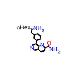 CCCCCCC(N)Cc1cccc(-c2cncc3ccc(C(N)=O)nc23)c1